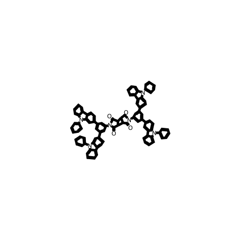 O=C1C2C(C(=O)N1c1cc(-c3ccc4c(c3)c3ccccc3n4-c3ccccc3)cc(-c3ccc4c(c3)c3ccccc3n4-c3ccccc3)c1)C1C(=O)N(c3cc(-c4ccc5c6ccccc6n(-c6ccccc6)c5c4)cc(-c4ccc5c6ccccc6n(-c6ccccc6)c5c4)c3)C(=O)C21